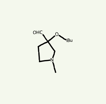 CCC(C)OC1(C=O)CCN(C)C1